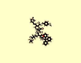 COc1ccc(COC(=O)C2=C(/C=C/C3CCN(C)O3)CS[C@H]3[C@H](NC(=O)/C(=N\OC(C)(C)C(=O)OC(C)(C)C)c4csc(NC(c5ccccc5)(c5ccccc5)c5ccccc5)n4)C(=O)N23)cc1